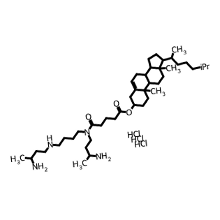 CC(C)CCCC(C)C1CCC2C3CC=C4CC(OC(=O)CCCC(=O)N(CCCCNCCC(C)N)CCC(C)N)CCC4(C)C3CCC12C.Cl.Cl.Cl